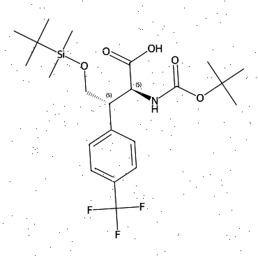 CC(C)(C)OC(=O)N[C@H](C(=O)O)[C@@H](CO[Si](C)(C)C(C)(C)C)c1ccc(C(F)(F)F)cc1